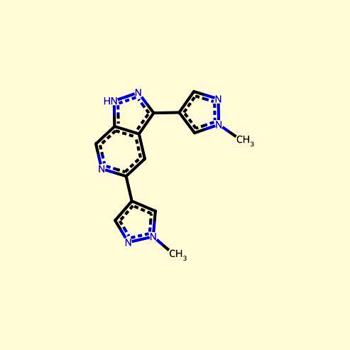 Cn1cc(-c2cc3c(-c4cnn(C)c4)n[nH]c3cn2)cn1